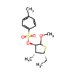 CC[C@H]1SC(OC)[C@H](OS(=O)(=O)c2ccc(C)cc2)[C@H]1C